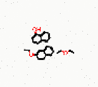 CCOCC.CCOc1ccc2ccccc2c1.Oc1cccc2ccccc12